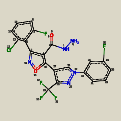 NNC(=O)c1c(-c2c(F)cccc2Cl)noc1-c1cn(-c2cccc(F)c2)nc1C(F)(F)F